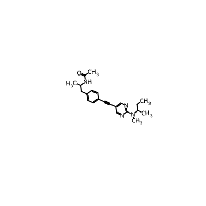 CCC(C)N(C)c1ncc(C#Cc2ccc(CC(C)NC(C)=O)cc2)cn1